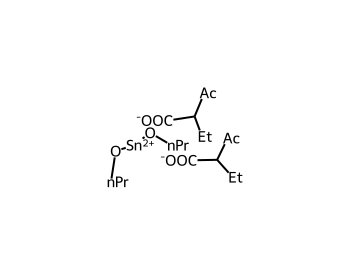 CCC(C(C)=O)C(=O)[O-].CCC(C(C)=O)C(=O)[O-].CCC[O][Sn+2][O]CCC